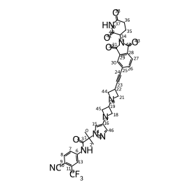 CC(C)(C(=O)Nc1ccc(C#N)c(C(F)(F)F)c1)n1cc(N2CC(N3CC(C#Cc4ccc5c(c4)C(=O)N(C4CCC(=O)NC4=O)C5=O)C3)C2)cn1